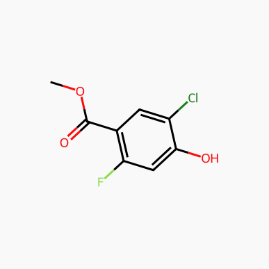 COC(=O)c1cc(Cl)c(O)cc1F